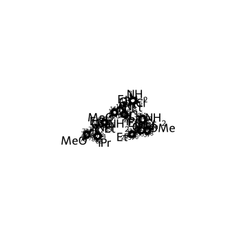 CCc1c(N)cc(Cl)c(CC)c1NC(=O)N(Cc1ccc(OC)cc1)c1ccc(C(C)C)cc1.CCc1ccc(N(Cc2ccc(OC)cc2)C(=O)Nc2c(CC)c(N)cc(Cl)c2CC)cc1.CCc1ccc(N)c(CC)c1NC(=O)N(Cc1ccc(OC)cc1)c1ccc(C(C)C)cc1